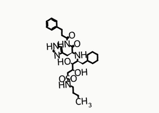 CCCCNS(=O)(=O)C[C@H](O)[C@@H](O)[C@H](CC1CCCCC1)N[C@@H](Cc1c[nH]cn1)C(=O)NC(=O)CCc1ccccc1